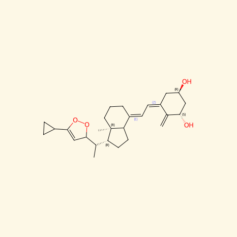 C=C1/C(=C\C=C2/CCC[C@@]3(C)C2CC[C@@H]3C(C)C2C=C(C3CC3)OO2)C[C@@H](O)C[C@@H]1O